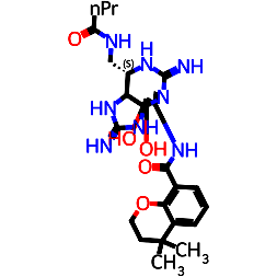 CCCC(=O)NC[C@@H]1NC(=N)N2CC(NC(=O)c3cccc4c3OCCC4(C)C)C(O)(O)C23NC(=N)NC13